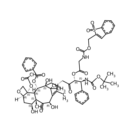 CC(=O)O[C@@]12CO[C@@H]1C[C@H](O)[C@@]1(C)C(=O)[C@H](O)C3=C(C)[C@@H](CC(=O)[C@H](OC(=O)CNC(=O)OCC4=Cc5ccccc5S4(=O)=O)[C@@H](NC(=O)OC(C)(C)C)c4ccccc4)C[C@@](O)([C@@H](OC(=O)c4ccccc4)[C@H]21)C3(C)C